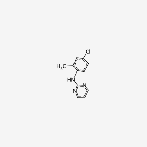 Cc1cc(Cl)ccc1Nc1ncccn1